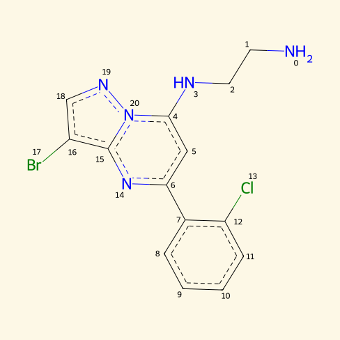 NCCNc1cc(-c2ccccc2Cl)nc2c(Br)cnn12